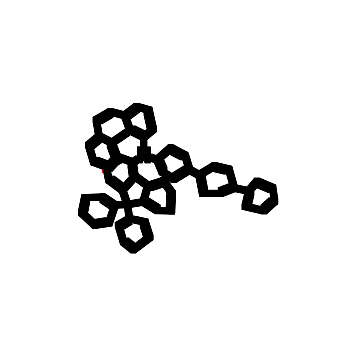 c1ccc(-c2ccc(-c3ccc(N(c4cccc5c4-c4ccccc4C5(c4ccccc4)c4ccccc4)c4cccc5ccc6ccccc6c45)cc3)cc2)cc1